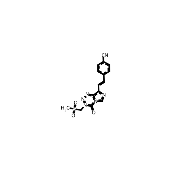 CS(=O)(=O)Cn1nnc2c(/C=C/c3ccc(C#N)cc3)ncn2c1=O